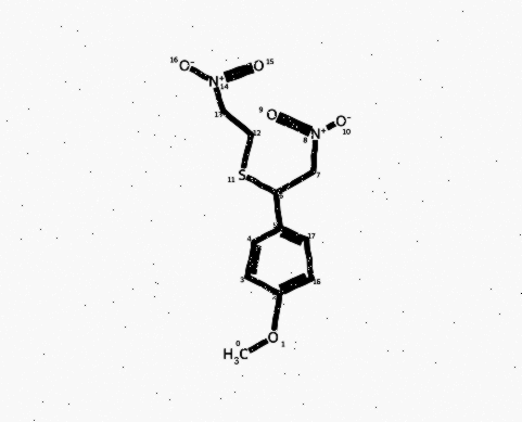 COc1ccc(C(C[N+](=O)[O-])SCC[N+](=O)[O-])cc1